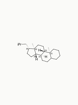 CC(C)C[C@H]1CC[C@H]2[C@@H]3CCC4CCCC[C@]4(C)[C@H]3CC[C@]12C